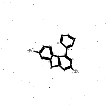 CC(C)(C)c1[c]c2c(c(-c3ccccc3)c1)-c1ccc(C(C)(C)C)cc1C2